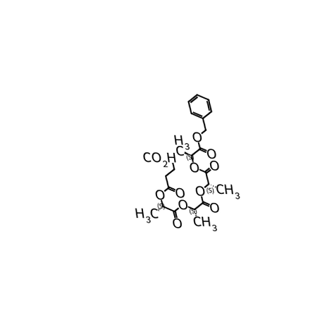 C[C@H](OC(=O)CCC(=O)O)C(=O)O[C@@H](C)C(=O)O[C@@H](C)C(=O)O[C@@H](C)C(=O)OCc1ccccc1